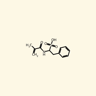 C=C(C)C(=O)NC(Cc1ccccc1)S(=O)(=O)O